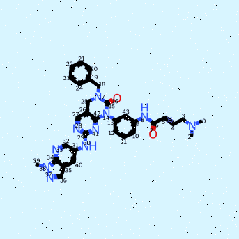 CN(C)C/C=C/C(=O)Nc1cccc(N2C(=O)N(Cc3ccccc3)Cc3cnc(Nc4cnc5c(cnn5C)c4)nc32)c1